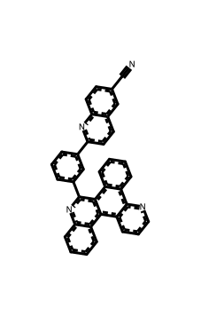 N#Cc1ccc2nc(-c3cccc(-c4nc5ccccc5c5c6cccnc6c6ccccc6c45)c3)ccc2c1